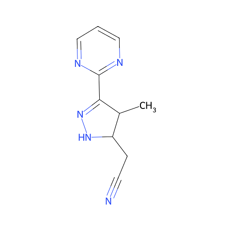 CC1C(c2ncccn2)=NNC1CC#N